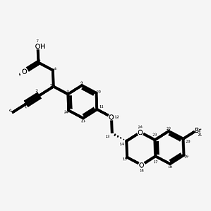 CC#CC(CC(=O)O)c1ccc(OC[C@H]2COc3ccc(Br)cc3O2)cc1